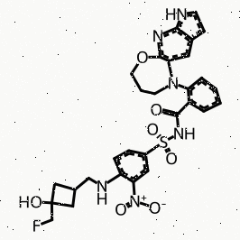 O=C(NS(=O)(=O)c1ccc(NCC2CC(O)(CF)C2)c([N+](=O)[O-])c1)c1ccccc1N1CCCOc2nc3[nH]ccc3cc21